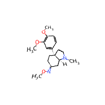 CO/N=C1\CC[C@@]2(c3ccc(OC)c(OC)c3)CCN(C)[C@H]2C1